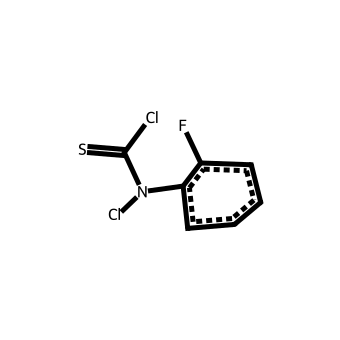 Fc1ccccc1N(Cl)C(=S)Cl